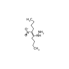 CCCCC(NN)=C(CCCC)[N+](=O)[O-]